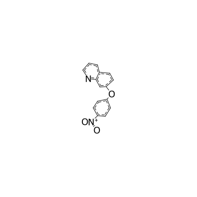 O=[N+]([O-])c1ccc(Oc2ccc3cccnc3c2)cc1